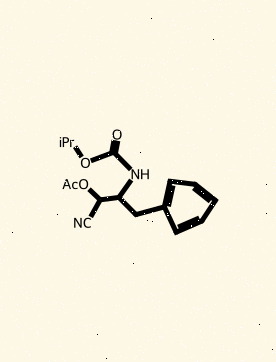 CC(=O)OC(C#N)C(Cc1ccccc1)NC(=O)OC(C)C